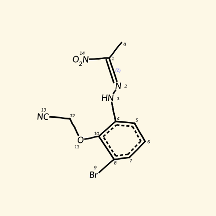 C/C(=N/Nc1cccc(Br)c1OCC#N)[N+](=O)[O-]